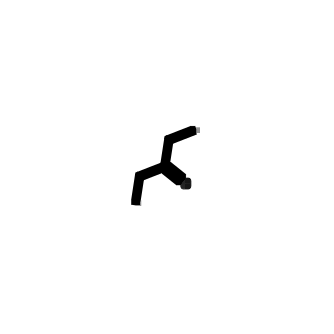 [CH2]CC(=O)C[CH2]